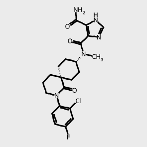 CN(C(=O)c1nc[nH]c1C(N)=O)[C@H]1CC[C@]2(CCCN(c3ccc(F)cc3Cl)C2=O)CC1